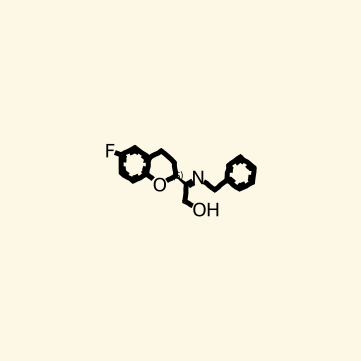 OCC(=NCc1ccccc1)[C@@H]1CCc2cc(F)ccc2O1